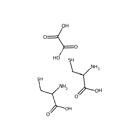 NC(CS)C(=O)O.NC(CS)C(=O)O.O=C(O)C(=O)O